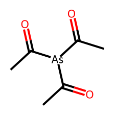 CC(=O)[As](C(C)=O)C(C)=O